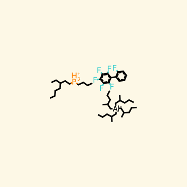 CCCC(C)[CH2][Al-]([CH2]C(C)CCC)([CH2]C(C)CCC)[CH2]C(C)CCC.CCCC[PH2+]CCC(CC)CCCC.Fc1ccccc1-c1c(F)c(F)c(F)c(F)c1F